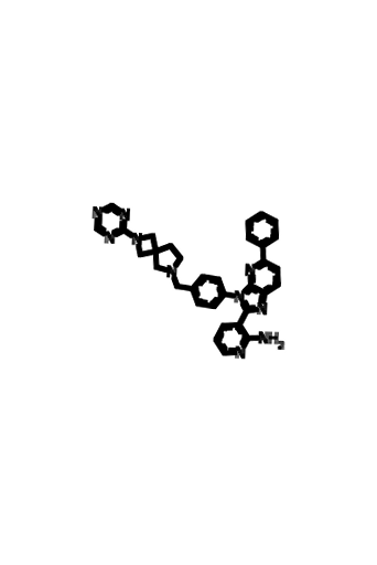 Nc1ncccc1-c1nc2ccc(-c3ccccc3)nc2n1-c1ccc(CN2CCC3(C2)CN(c2ncncn2)C3)cc1